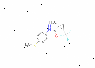 CSc1ccc(NC(=O)C2(C)CC2C(F)(F)F)cc1